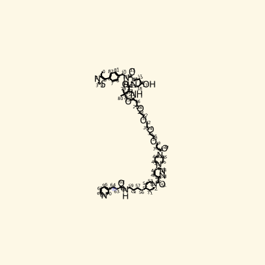 Cc1ncsc1-c1ccc(CNC(=O)[C@@H]2C[C@@H](O)CN2C(=O)[C@@H](NC(=O)CCOCCOCCOCCOCCC(=O)N2CCN(c3ccc(C(=O)N4CCC(CCCCNC(=O)/C=C/c5cccnc5)CC4)nn3)CC2)C(C)(C)C)cc1